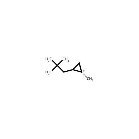 C[C@H]1CC1CC(C)(C)C